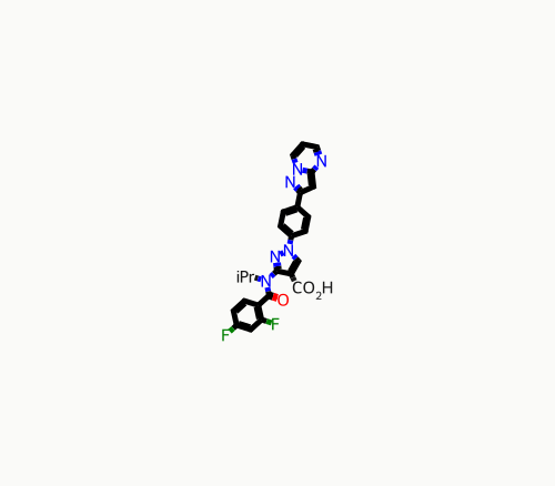 CC(C)N(C(=O)c1ccc(F)cc1F)c1nn(-c2ccc(-c3cc4ncccn4n3)cc2)cc1C(=O)O